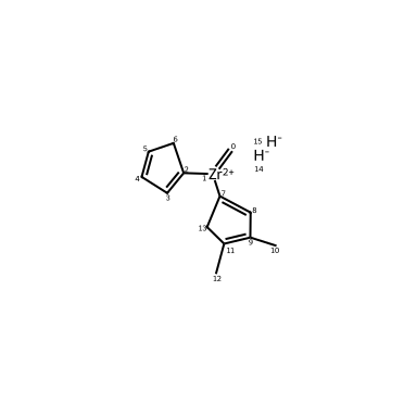 [CH2]=[Zr+2]([C]1=CC=CC1)[C]1=CC(C)=C(C)C1.[H-].[H-]